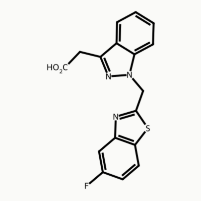 O=C(O)Cc1nn(Cc2nc3cc(F)ccc3s2)c2ccccc12